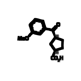 COc1cccc(C(=O)[C@H]2CC[C@@H](C(=O)O)C2)c1